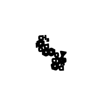 Cc1ccc(Oc2ccc3cc(OCc4c(-c5c(Cl)cccc5Cl)noc4C4CC4)ccc3c2Cl)nc1